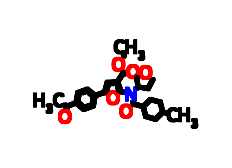 CCOC(=O)c1cc(-c2ccc(C(C)=O)cc2)oc1N(C(=O)C1CCC(C)CC1)C1CCOC1